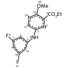 CCOC(=O)c1nc(Nc2cc(F)cc(F)c2)cnc1OC